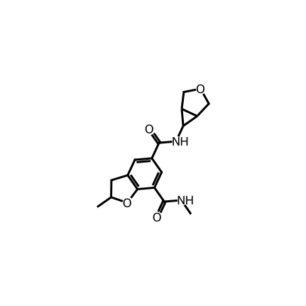 CNC(=O)c1cc(C(=O)NC2C3COCC32)cc2c1OC(C)C2